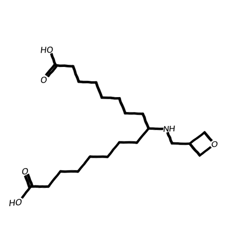 O=C(O)CCCCCCCC(CCCCCCCC(=O)O)NCC1COC1